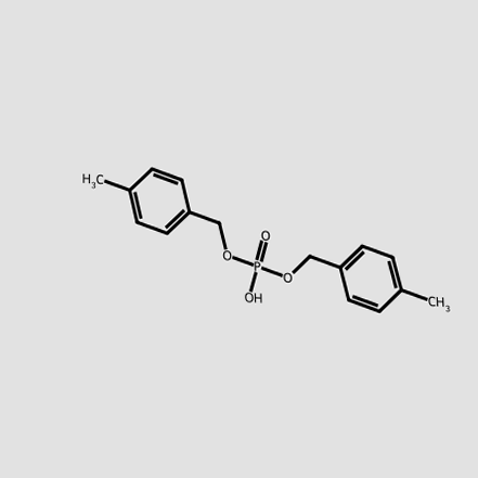 Cc1ccc(COP(=O)(O)OCc2ccc(C)cc2)cc1